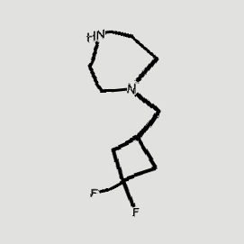 FC1(F)CC(CN2CCNCC2)C1